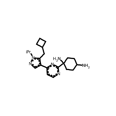 CC(C)n1ncc(-c2ccnc(C3(N)CCC(N)CC3)n2)c1CC1CCC1